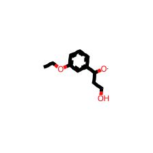 CCOc1cccc(C([O])CCO)c1